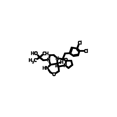 CC(C)(O)CN1CCN(C(=O)Cc2ccc(Cl)c(Cl)c2)[C@@H]2C(N3CCCC3)COCNC21